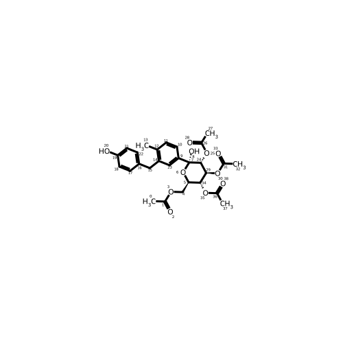 CC(=O)OC[C@H]1O[C@@](O)(c2ccc(C)c(Cc3ccc(O)cc3)c2)[C@H](OC(C)=O)[C@@H](OC(C)=O)[C@@H]1OC(C)=O